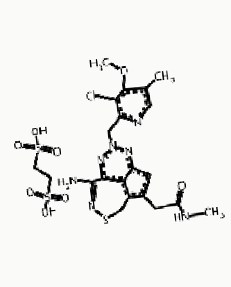 CNC(=O)Cc1cc2nn(Cc3ncc(C)c(OC)c3Cl)nc3c-2c1CSN=C3N.O=S(=O)(O)CCS(=O)(=O)O